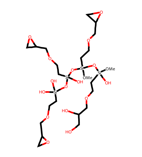 CO[Si](O)(CCOCC(O)CO)O[Si](CCOCC1CO1)(OC)O[Si](O)(CCOCC1CO1)O[Si](O)(O)CCOCC1CO1